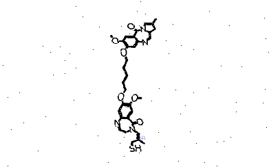 COc1cc2c(cc1OCCCCCOc1cc3c(cc1OC)C(=O)N1C=C(C)CC1C=N3)N=CCN(/C=C(/C)CS)C2=O